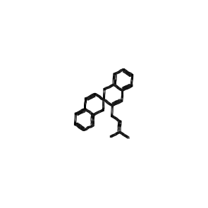 CC(C)=CCC1=Cc2ccccc2CC12C=Cc1ccccc1C2